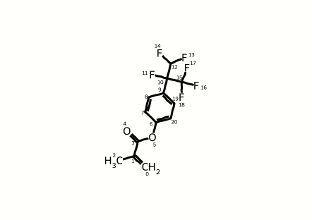 C=C(C)C(=O)Oc1ccc(C(F)(C(F)F)C(F)(F)F)cc1